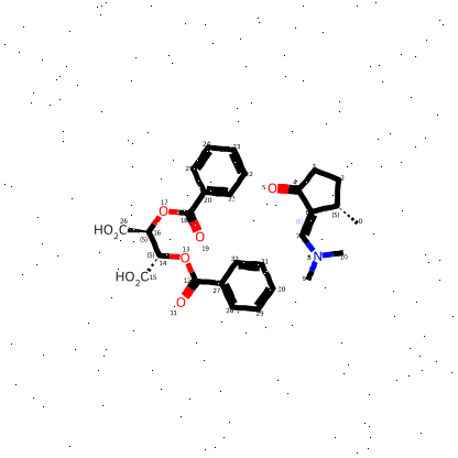 C[C@H]1CCC(=O)/C1=C/N(C)C.O=C(O[C@H](C(=O)O)[C@H](OC(=O)c1ccccc1)C(=O)O)c1ccccc1